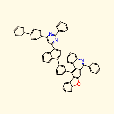 c1ccc(-c2ccc(-c3cc(-c4ccc(-c5cccc(-c6c7c(cc8c(-c9ccccc9)nc9ccccc9c68)oc6ccccc67)c5)c5ccccc45)nc(-c4ccccc4)n3)cc2)cc1